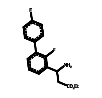 CCOC(=O)CC(N)c1cccc(-c2ccc(F)cc2)c1F